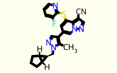 Cc1c(-c2cc(Sc3ncccc3F)c3c(C#N)cnn3c2)cnn1C[C@H]1[C@@H]2CCC[C@@H]21